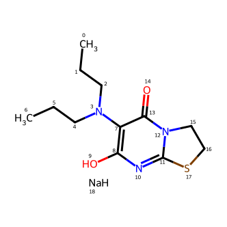 CCCN(CCC)c1c(O)nc2n(c1=O)CCS2.[NaH]